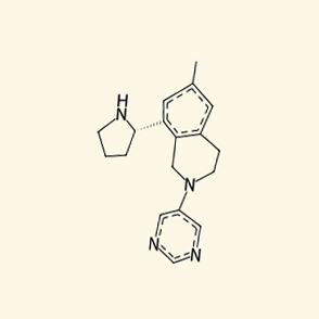 Cc1cc2c(c([C@@H]3CCCN3)c1)CN(c1cncnc1)CC2